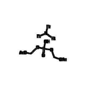 CC(=O)OCOP(=O)(O)OCOC(C)=O.CCN(CC)CC